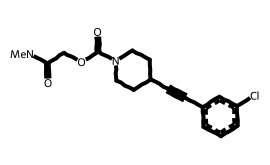 CNC(=O)COC(=O)N1CCC(C#Cc2cccc(Cl)c2)CC1